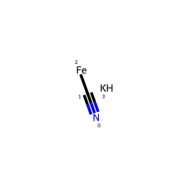 N#[C][Fe].[KH]